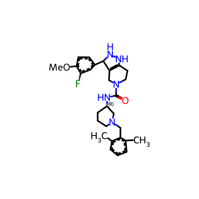 COc1ccc(C2NNC3=C2CN(C(=O)N[C@@H]2CCCN(Cc4c(C)cccc4C)C2)CC3)cc1F